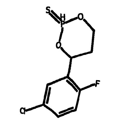 Fc1ccc(Cl)cc1C1CCO[PH](=S)O1